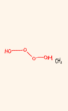 C.OOOO